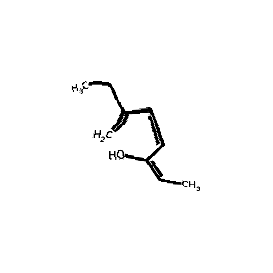 C=C(/C=C\C(O)=C/C)CC